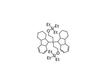 CC[Si](CC)(CC)OCCC(CCO[Si](CC)(CC)CC)(C1C2C=CC=CC2C2CCCCC21)C1C2C=CC=CC2C2CCCCC21